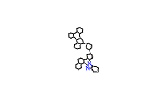 c1cc(-c2ccc3c(c2)c2ccc4ccccc4c2c2nc4ccccc4n32)cc(-c2cc3c4ccccc4c4ccccc4c3c3ccccc23)c1